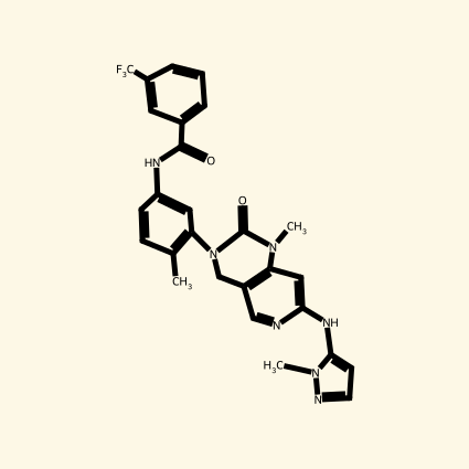 Cc1ccc(NC(=O)c2cccc(C(F)(F)F)c2)cc1N1Cc2cnc(Nc3ccnn3C)cc2N(C)C1=O